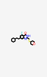 O=c1[nH]c(CSC2CCOCC2)nc2cc(CCC3CCCCC3)cc(F)c12